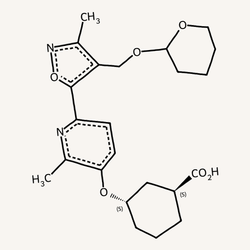 Cc1nc(-c2onc(C)c2COC2CCCCO2)ccc1O[C@H]1CCC[C@H](C(=O)O)C1